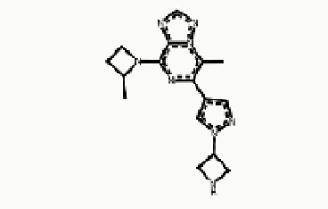 Cc1c(-c2cnn(C3CNC3)c2)nc(N2CC[C@@H]2C)c2ncnn12